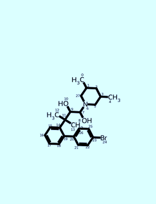 CC1CC(C)CN(C(O)C(O)C(C)(C)c2ccccc2-c2ccc(Br)cc2)C1